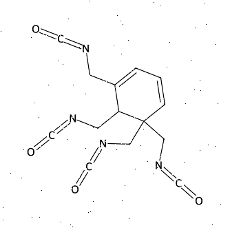 O=C=NCC1=CC=CC(CN=C=O)(CN=C=O)C1CN=C=O